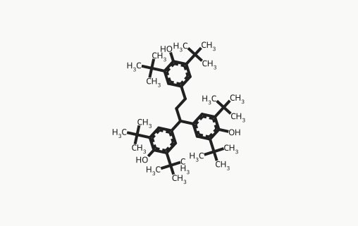 CC(C)(C)c1cc(CCC(c2cc(C(C)(C)C)c(O)c(C(C)(C)C)c2)c2cc(C(C)(C)C)c(O)c(C(C)(C)C)c2)cc(C(C)(C)C)c1O